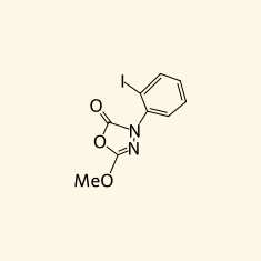 COc1nn(-c2ccccc2I)c(=O)o1